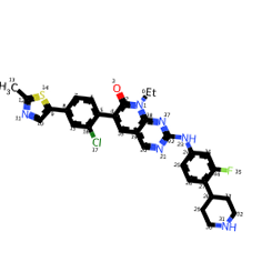 CCn1c(=O)c(-c2ccc(-c3cnc(C)s3)cc2Cl)cc2cnc(Nc3ccc(C4CCNCC4)c(F)c3)nc21